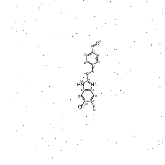 O=Cc1ccc(CSc2nc3cc(F)c(Cl)cc3[nH]2)cc1